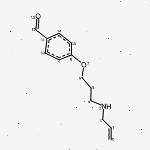 C=CCNCCCOc1ccc(C=O)cc1